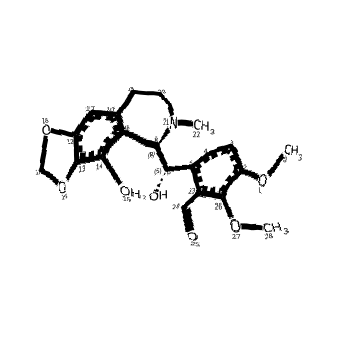 COc1ccc([C@H](O)[C@H]2c3c(cc4c(c3O)OCO4)CCN2C)c(C=O)c1OC